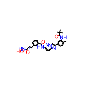 Cc1ccc(-c2cn3nc(NC(=O)c4cccc(/C=C/C(=O)NO)c4)ccc3n2)cc1NC(=O)C(C)(C)C